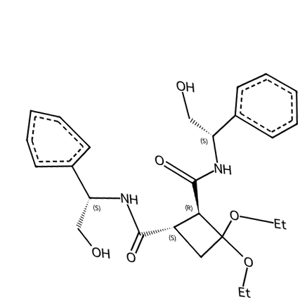 CCOC1(OCC)C[C@H](C(=O)N[C@H](CO)c2ccccc2)[C@H]1C(=O)N[C@H](CO)c1ccccc1